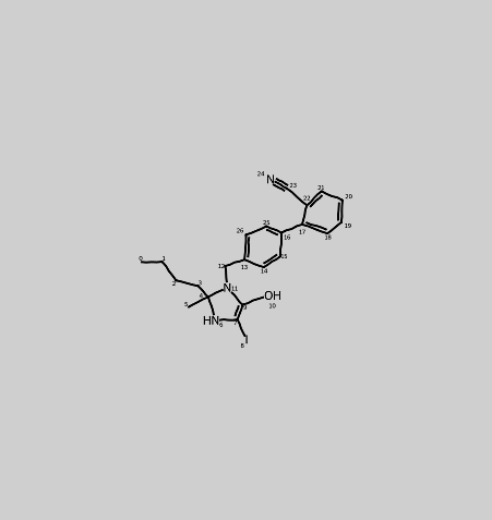 CCCCC1(C)NC(I)=C(O)N1Cc1ccc(-c2ccccc2C#N)cc1